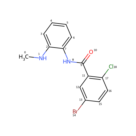 CNc1ccccc1NC(=O)c1cc(Br)ccc1Cl